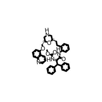 COC(=O)N[C@H](C(=O)Nc1ccccc1CC[C@@H]1CNC[C@@H](COc2cccc3ncccc23)O1)C(c1ccccc1)c1ccccc1